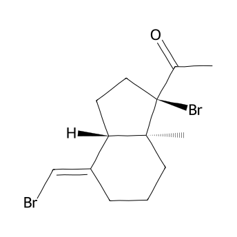 CC(=O)[C@@]1(Br)CC[C@H]2C(=CBr)CCC[C@@]21C